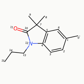 [CH2]c1ccc2c(c1)C(C)(C)C(=O)N2CCC